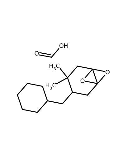 CC1(C)CC23OC2(CC1CC1CCCCC1)O3.O=CO